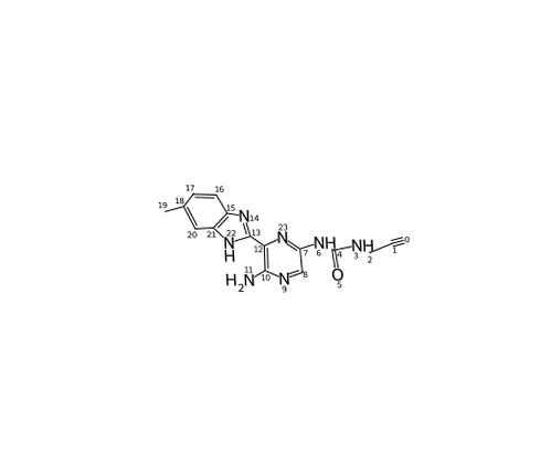 C#CCNC(=O)Nc1cnc(N)c(-c2nc3ccc(C)cc3[nH]2)n1